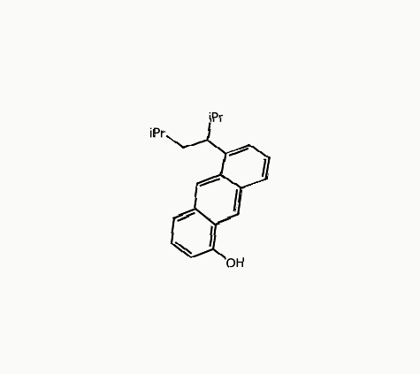 CC(C)CC(c1cccc2cc3c(O)cccc3cc12)C(C)C